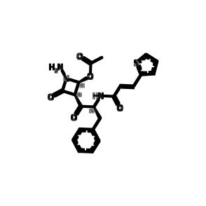 CC(=O)O[C@H]1[C@@H](C(=O)[C@H](Cc2ccccc2)NC(=O)C=Cc2cccs2)C(=O)N1N